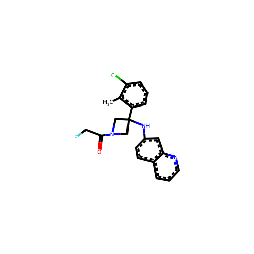 Cc1c(Cl)cccc1C1(Nc2ccc3cccnc3c2)CN(C(=O)CF)C1